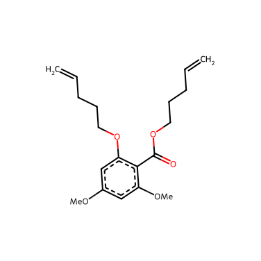 C=CCCCOC(=O)c1c(OC)cc(OC)cc1OCCCC=C